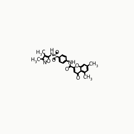 Cc1cc(C)c2c(=O)cc(C(=O)Nc3ccc(S(=O)(=O)Nc4onc(C)c4C)cc3)oc2c1